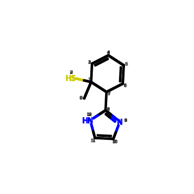 CC1(S)C=CC=CC1c1ncc[nH]1